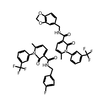 Cc1ccc(C(=O)NCc2ccc(F)cc2)c(=O)n1-c1cccc(C(F)(F)F)c1.Cc1ccc(C(=O)NCc2ccc3c(c2)OCO3)c(=O)n1-c1cccc(C(F)(F)F)c1